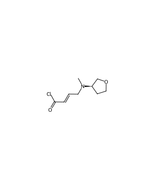 CN(CC=CC(=O)Cl)[C@@H]1CCOC1